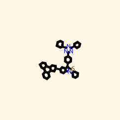 c1ccc(-c2nc(-c3ccccc3)nc(-c3ccc(-c4c5cc(-c6ccc7c8ccccc8c8ccccc8c7c6)ccc5n5c4sc4ccccc45)cc3)n2)cc1